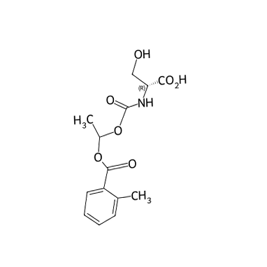 Cc1ccccc1C(=O)OC(C)OC(=O)N[C@H](CO)C(=O)O